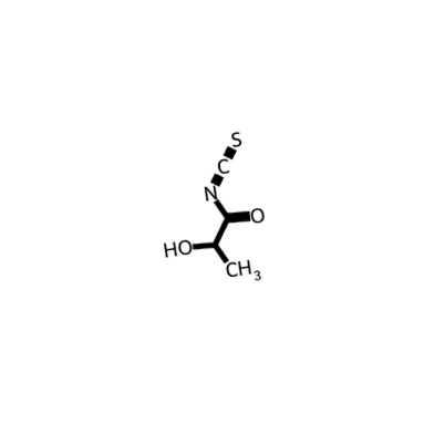 CC(O)C(=O)N=C=S